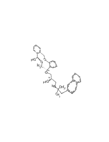 C[C@@H](OC[C@H](O)CNC(C)(C)Cc1ccc2ccccc2c1)c1ccccc1OCc1ccccc1C(=O)O